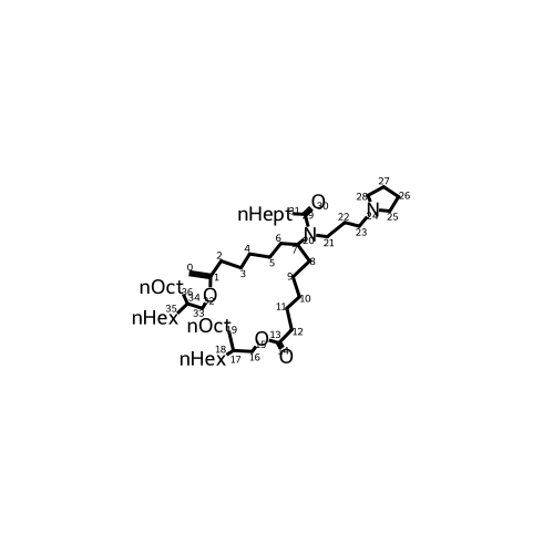 C=C(CCCCCC(CCCCCC(=O)OCC(CCCCCC)CCCCCCCC)N(CCCN1CCCC1)C(=O)CCCCCCC)OCC(CCCCCC)CCCCCCCC